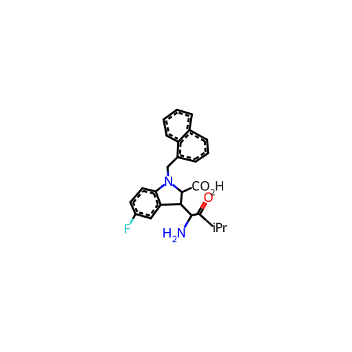 CC(C)C(=O)C(N)C1c2cc(F)ccc2N(Cc2cccc3ccccc23)C1C(=O)O